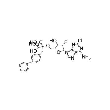 Nc1nc(Cl)nc2c1ncn2[C@@H]1O[C@H](COC(Cc2ccc(-c3ccccc3)cc2)(C(=O)O)C(O)O)[C@@H](O)[C@@H]1F